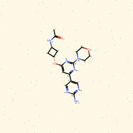 CC(=O)N[C@H]1C[C@H](Oc2cc(-c3cnc(N)nc3)nc(N3CCOCC3)n2)C1